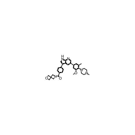 COc1cc(-c2cnc3[nH]cc(-c4ccc(C(=O)N5CC6(COC6)C5)cc4)c3c2)cc(C)c1N1CCN(C)CC1